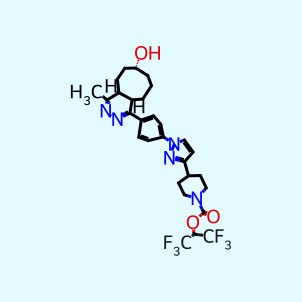 CC1=NN=C(c2ccc(-n3ccc(C4CCN(C(=O)OC(C(F)(F)F)C(F)(F)F)CC4)n3)cc2)[C@@H]2CCC[C@@H](O)CC[C@@H]12